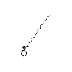 CCCCCCCCCCCCCCONc1ccccc1.[Ti]